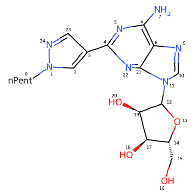 CCCCCn1cc(-c2nc(N)c3ncn(C4O[C@H](CO)[C@@H](O)[C@H]4O)c3n2)cn1